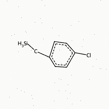 [SiH3]Cc1ccc(Cl)cc1